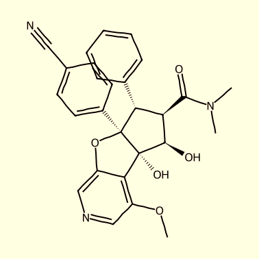 COc1cncc2c1[C@]1(O)[C@H](O)[C@H](C(=O)N(C)C)[C@@H](c3ccccc3)[C@]1(c1ccc(C#N)cc1)O2